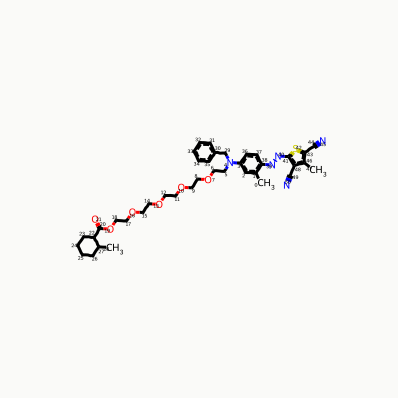 Cc1cc(N(CCOCCOCCOCCOCCOC(=O)C2CCCCC2C)Cc2ccccc2)ccc1/N=N/c1sc(C#N)c(C)c1C#N